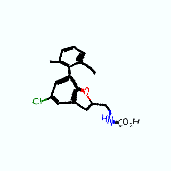 Cc1cccc(C)c1-c1cc(Cl)cc2c1OC(CNC(=O)O)C2